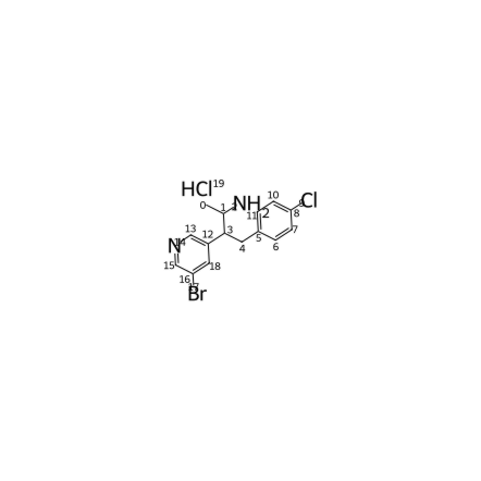 CC(N)C(Cc1ccc(Cl)cc1)c1cncc(Br)c1.Cl